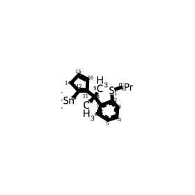 CC(C)Sc1ccccc1C(C)(C)C1=[C]([Sn])CC=C1